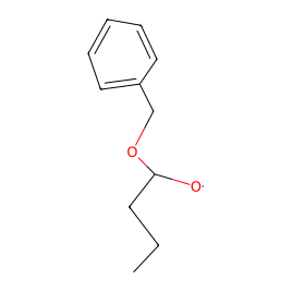 CCCC([O])OCc1ccccc1